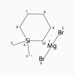 [Br][Mg][Br].[CH2][Si]1(C)CCCCC1